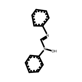 ON(C=Nc1ccccc1)c1ccccc1